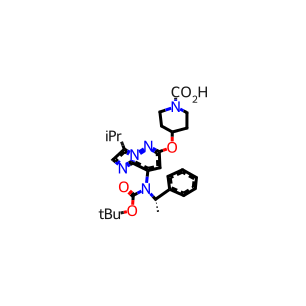 CC(C)c1cnc2c(N(C(=O)OC(C)(C)C)[C@@H](C)c3ccccc3)cc(OC3CCN(C(=O)O)CC3)nn12